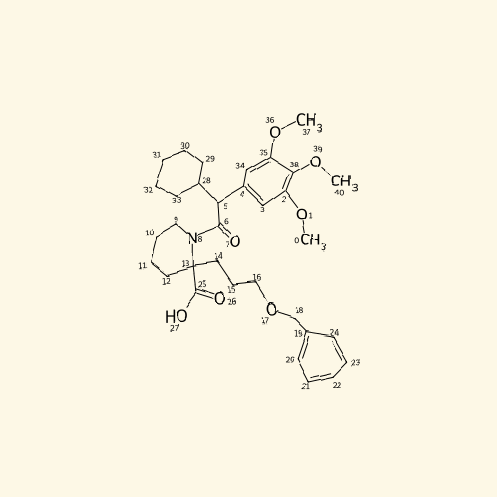 COc1cc(C(C(=O)N2CCCCC2(CCCOCc2ccccc2)C(=O)O)C2CCCCC2)cc(OC)c1OC